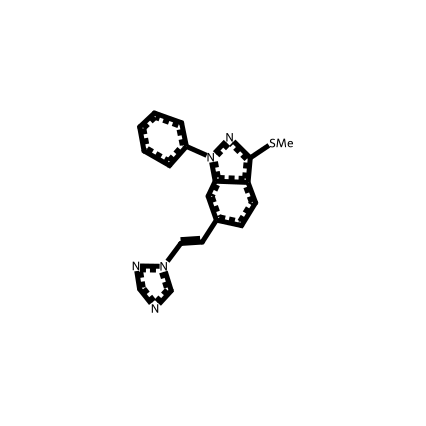 CSc1nn(-c2ccccc2)c2cc(C=Cn3cncn3)ccc12